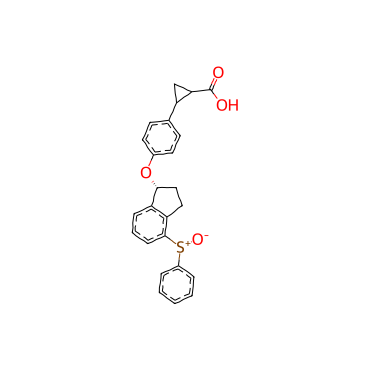 O=C(O)C1CC1c1ccc(O[C@@H]2CCc3c2cccc3[S+]([O-])c2ccccc2)cc1